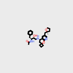 CC(=O)N[C@@H](Cc1ccccc1)[C@H](O)CN[C@H]1CC2(CCC2)Oc2ncc(C[C@]3(C)CCCO3)cc21